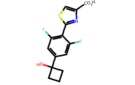 O=C(O)c1csc(-c2c(F)cc(C3(O)CCC3)cc2F)n1